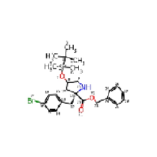 CC(C)(C)[Si](C)(C)OC1CN[C@](Cc2ccc(Br)cc2)(C(=O)OCc2ccccc2)C1